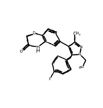 CCC(C)Cn1nc(C)c(-c2ccc3c(c2)NC(=O)CO3)c1-c1ccc(F)cc1